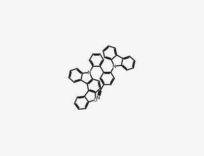 N#Cc1ccc(-n2c3ccccc3c3ccccc32)c(-c2ccccc2-n2c3ccccc3c3c4c(ccc32)oc2ccccc24)c1